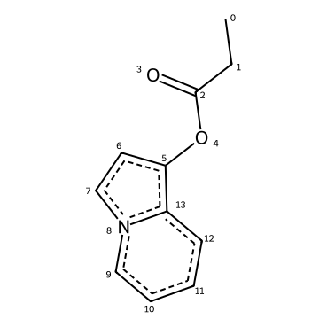 CCC(=O)Oc1ccn2ccccc12